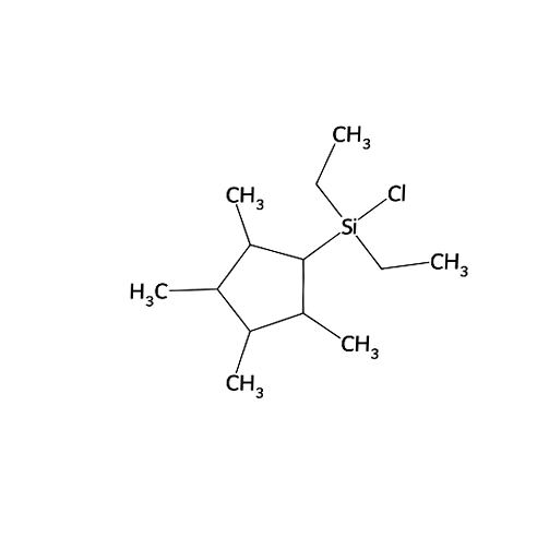 CC[Si](Cl)(CC)C1C(C)C(C)C(C)C1C